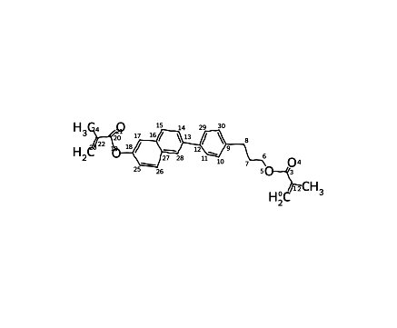 C=C(C)C(=O)OCCCc1ccc(-c2ccc3cc(OC(=O)C(=C)C)ccc3c2)cc1